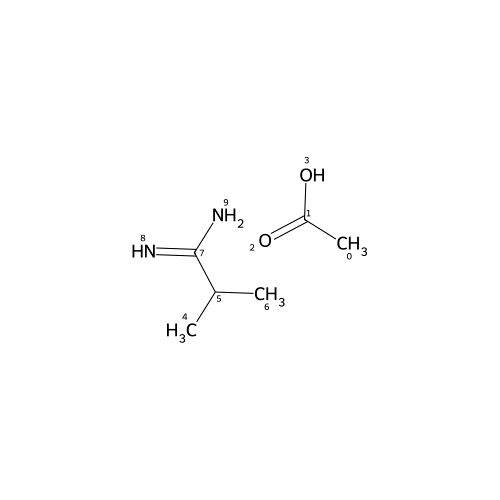 CC(=O)O.CC(C)C(=N)N